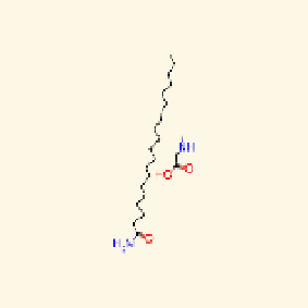 CCCCCCCCCCCCCCCCCCCC(N)=O.CNCC(=O)O